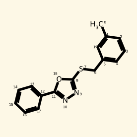 Cc1cccc(CSc2nnc(-c3ccccc3)o2)c1